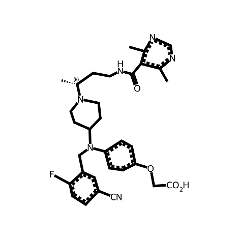 Cc1ncnc(C)c1C(=O)NCC[C@@H](C)N1CCC(N(Cc2cc(C#N)ccc2F)c2ccc(OCC(=O)O)cc2)CC1